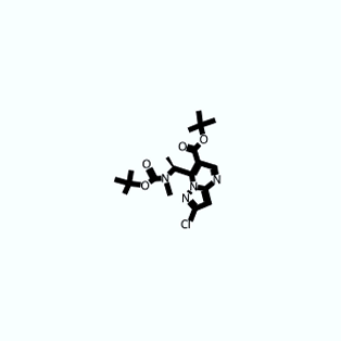 C[C@@H](c1c(C(=O)OC(C)(C)C)cnc2cc(Cl)nn12)N(C)C(=O)OC(C)(C)C